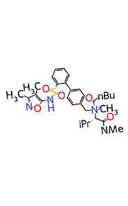 CCCCC(=O)[N+](C)(Cc1ccc(-c2ccccc2S(=O)(=O)Nc2onc(C)c2C)cc1)[C@H](C(=O)NC)C(C)C